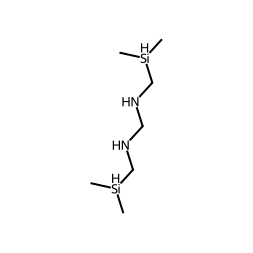 C[SiH](C)CNCNC[SiH](C)C